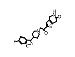 O=C1Cc2sc(C(=O)CN3CCC(c4noc5cc(F)ccc45)CC3)cc2CN1